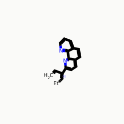 C=C/C(=C\CC)c1ccc2ccc3cccnc3c2n1